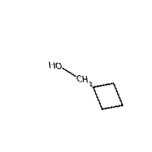 C1CCC1.CO